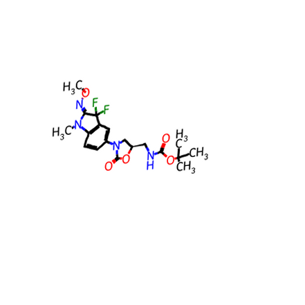 CON=C1N(C)c2ccc(N3C[C@@H](CNC(=O)OC(C)(C)C)OC3=O)cc2C1(F)F